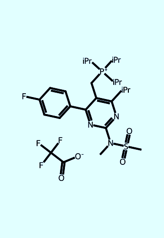 CC(C)c1nc(N(C)S(C)(=O)=O)nc(-c2ccc(F)cc2)c1C[P+](C(C)C)(C(C)C)C(C)C.O=C([O-])C(F)(F)F